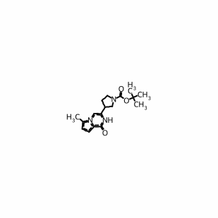 Cc1ccc2c(=O)[nH]c(C3CCN(C(=O)OC(C)(C)C)C3)cn12